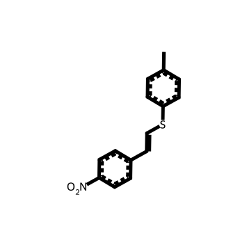 Cc1ccc(SC=Cc2ccc([N+](=O)[O-])cc2)cc1